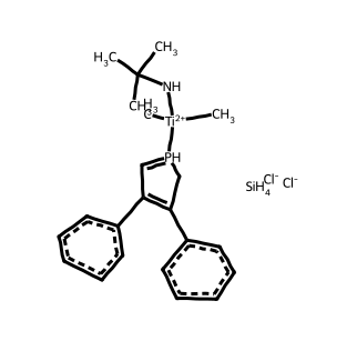 CC(C)(C)[NH][Ti+2]([CH3])([CH3])[PH]1=CC(c2ccccc2)=C(c2ccccc2)C1.[Cl-].[Cl-].[SiH4]